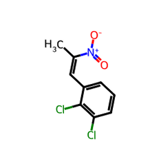 CC(=Cc1cccc(Cl)c1Cl)[N+](=O)[O-]